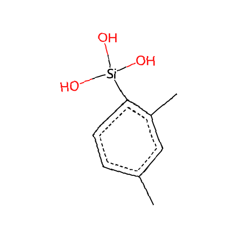 Cc1ccc([Si](O)(O)O)c(C)c1